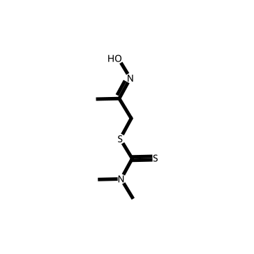 C/C(CSC(=S)N(C)C)=N\O